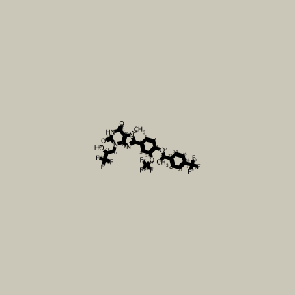 CC(Oc1ccc(-c2nc3c(c(=O)[nH]c(=O)n3CC(O)C(F)(F)F)n2C)cc1OC(F)(F)F)c1ccc(C(F)(F)F)cc1